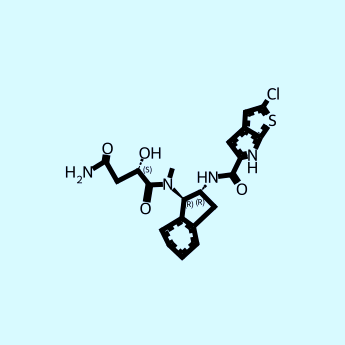 CN(C(=O)[C@@H](O)CC(N)=O)[C@@H]1c2ccccc2C[C@H]1NC(=O)c1cc2cc(Cl)sc2[nH]1